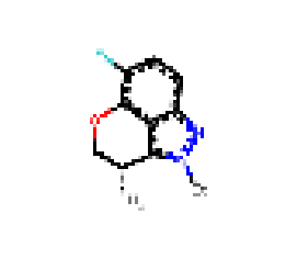 [CH2]Cn1nc2ccc(F)c3c2c1[C@H](C)CO3